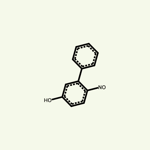 O=Nc1ccc(O)cc1-c1ccccc1